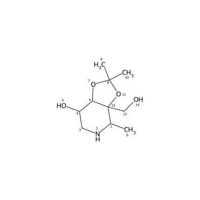 CC1NCC(O)C2OC(C)(C)OC12CO